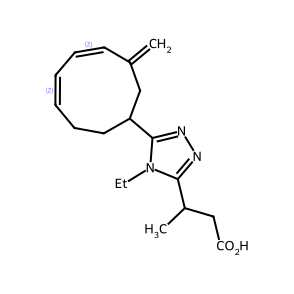 C=C1/C=C\C=C/CCC(c2nnc(C(C)CC(=O)O)n2CC)C1